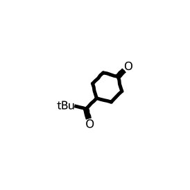 CC(C)(C)C(=O)C1CCC(=O)CC1